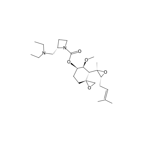 CCN(CC)C[C@@H]1CCN1C(=O)O[C@@H]1CC[C@]2(CO2)[C@@H]([C@@]2(C)O[C@@H]2CC=C(C)C)[C@@H]1OC